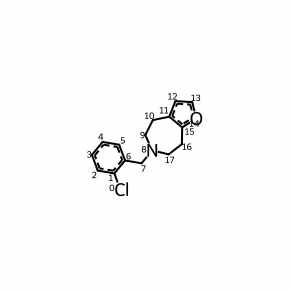 Clc1ccccc1CN1CCc2ccoc2CC1